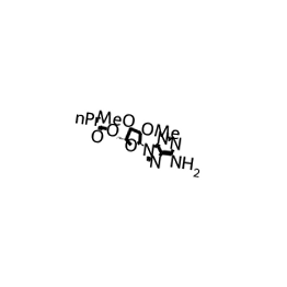 CCCC(=O)OC[C@H]1O[C@@H](n2cnc3c(N)ncnc32)C(OC)C1OC